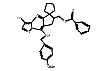 COc1ccc(CNc2c3c(nc4c(Br)cnn24)C2(CCCC2)C(COC(=O)c2ccccc2)C3)cc1